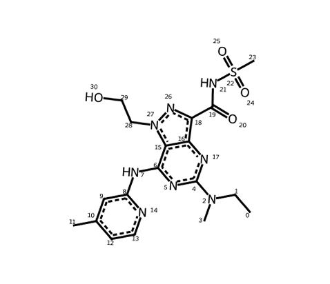 CCN(C)c1nc(Nc2cc(C)ccn2)c2c(n1)c(C(=O)NS(C)(=O)=O)nn2CCO